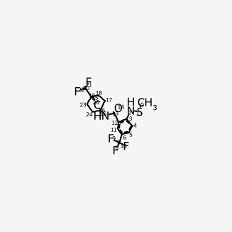 CSNc1ccc(C(F)(F)F)cc1C(=O)NC12CCC(C(F)F)(CC1)CC2